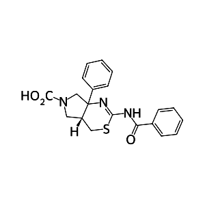 O=C(NC1=NC2(c3ccccc3)CN(C(=O)O)C[C@H]2CS1)c1ccccc1